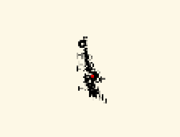 CC(C)(COP(=O)(O)OP(=O)(O)OC[C@H]1O[C@@H](n2cnc3c(N)ncnc32)[C@H](O)[C@@H]1OP(=O)(O)O)[C@@H](O)C(=O)NCCC(=O)NCCSC1CC=CCC(=O)C1